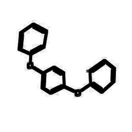 [c]1ccccc1Oc1ccc(Oc2ccccc2)cc1